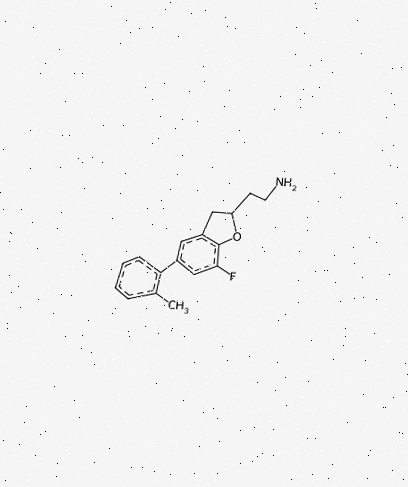 Cc1ccccc1-c1cc(F)c2c(c1)CC(CCN)O2